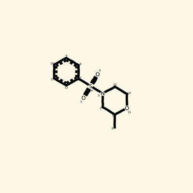 CC1CN(S(=O)(=O)c2ccccc2)CCO1